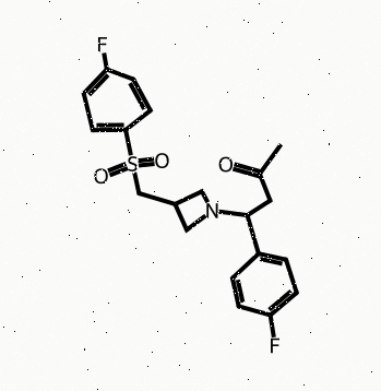 CC(=O)CC(c1ccc(F)cc1)N1CC(CS(=O)(=O)c2ccc(F)cc2)C1